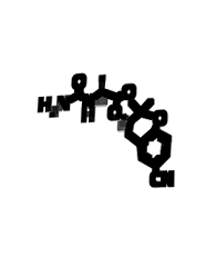 C[C@H](NC(N)=O)C(=O)O[C@H]1Cc2cc(C#N)ccc2OC1(C)C